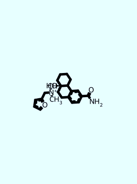 C[N+](C)(Cc1ccco1)[C@@H]1Cc2ccc(C(N)=O)cc2C2CCCC[C@]21O